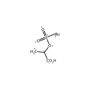 CCCCS(=O)(=O)OC(C)C(=O)O